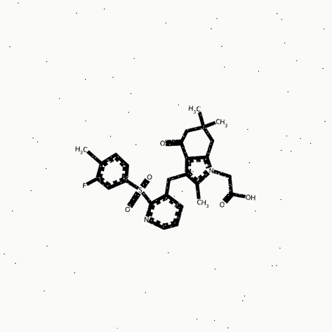 Cc1ccc(S(=O)(=O)c2ncccc2Cc2c3c(n(CC(=O)O)c2C)CC(C)(C)CC3=O)cc1F